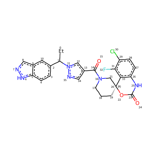 CCC(c1ccc2[nH]ncc2c1)n1cc(C(=O)N2CCC[C@@]3(C2)OC(=O)Nc2ccc(Cl)c(F)c23)cn1